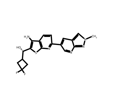 Cn1cc2cc(-c3ccc4c(N)c([C@@H](O)C5CC(F)(F)C5)sc4n3)cnc2n1